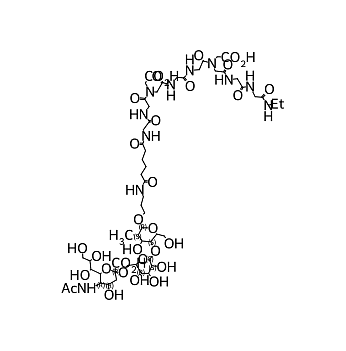 CCNC(=O)CNC(=O)CNC(=O)CN(CC(=O)O)C(=O)CNC(=O)CNC(=O)CN(CC(=O)O)C(=O)CNC(=O)CNC(=O)CCCCC(=O)NCCCO[C@@H]1OC(CO)[C@@H](O[C@@H]2OC(CO[C@]3(C(=O)O)C[C@@H](O)[C@@H](NC(C)=O)C(C(O)C(O)CO)O3)[C@H](O)C(O)[C@@H]2O)C(O)[C@@H]1C